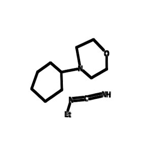 C1CCC(N2CCOCC2)CC1.CCN=C=N